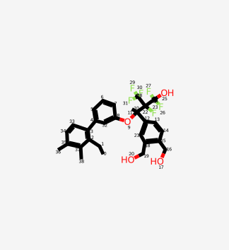 CCc1c(-c2cccc(OC(C)(c3ccc(CO)c(CO)c3)C(F)(C(O)(F)F)C(F)(F)F)c2)ccc(C)c1C